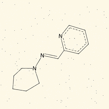 C(=N\N1CCCCC1)/c1ccccn1